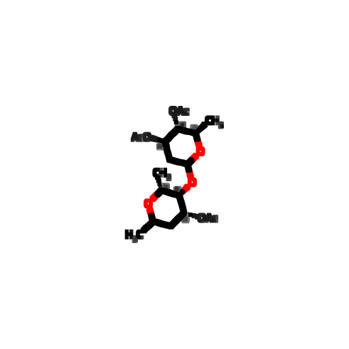 CC(=O)O[C@@H]1[C@@H](C)OC(O[C@@H]2[C@@H](C)OC(C)C[C@H]2OC(C)=O)C[C@H]1OC(C)=O